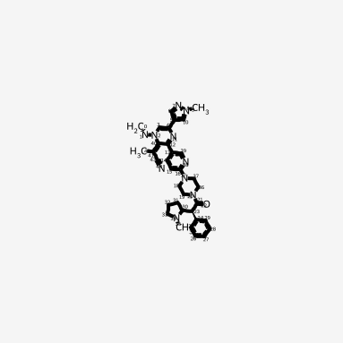 C=NN1C=C(c2cnn(C)c2)N=C(c2ccc(N3CCN(C(=O)[C@@H](c4ccccc4)C4CCCN4C)CC3)nc2)/C1=C(/C)C#N